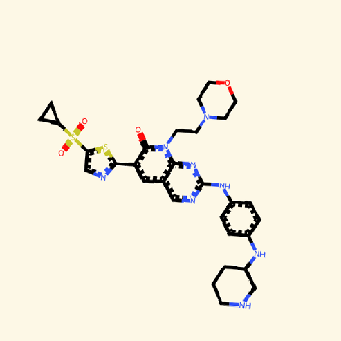 O=c1c(-c2ncc(S(=O)(=O)C3CC3)s2)cc2cnc(Nc3ccc(NC4CCCNC4)cc3)nc2n1CCN1CCOCC1